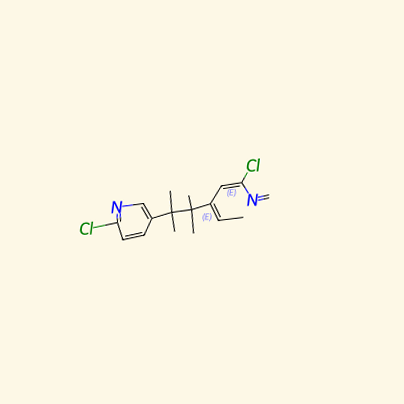 C=N/C(Cl)=C\C(=C/C)C(C)(C)C(C)(C)c1ccc(Cl)nc1